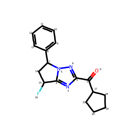 O=C(c1nc2n(n1)C(c1ccccc1)CC2F)C1CCCC1